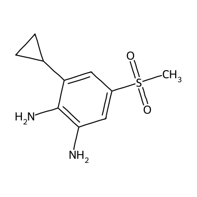 CS(=O)(=O)c1cc(N)c(N)c(C2CC2)c1